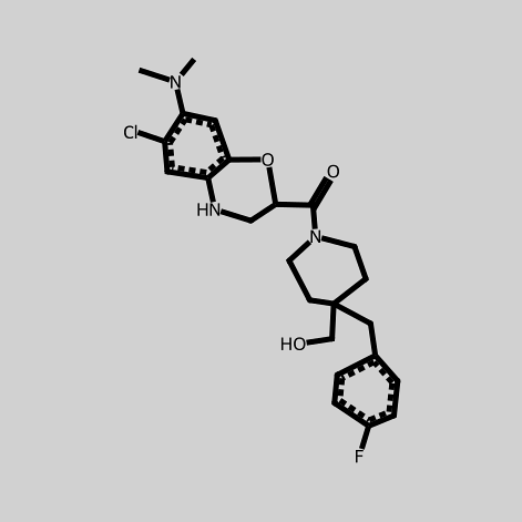 CN(C)c1cc2c(cc1Cl)NCC(C(=O)N1CCC(CO)(Cc3ccc(F)cc3)CC1)O2